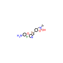 Nc1ccc(Oc2ccnc3cc(-c4ccc(CN(C(=O)O)C5CC5)cc4)sc23)c(F)c1